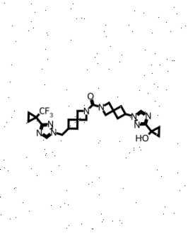 O=C(N1CC2(CC(Cn3cnc(C4(C(F)(F)F)CC4)n3)C2)C1)N1CC2(CC(n3cnc(C4(O)CC4)n3)C2)C1